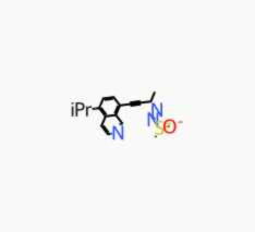 CC(C#Cc1ccc(C(C)C)c2ccncc12)N=N[S+](C)[O-]